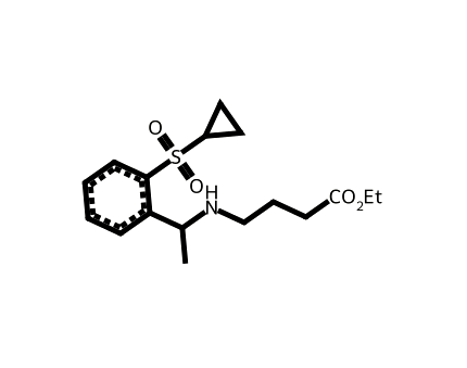 CCOC(=O)CCCNC(C)c1ccccc1S(=O)(=O)C1CC1